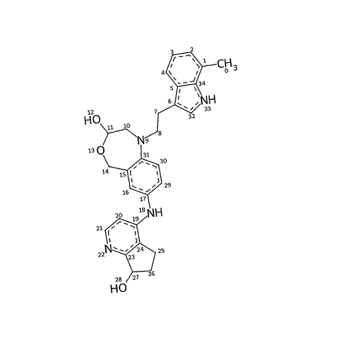 Cc1cccc2c(CCN3CC(O)OCc4cc(Nc5ccnc6c5CCC6O)ccc43)c[nH]c12